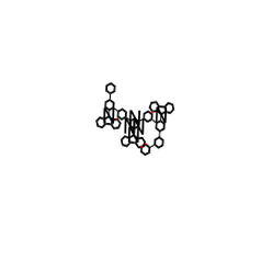 c1ccc(-c2cccc(-c3ccc(-n4c5ccccc5c5ccccc54)c(-c4cccc(-c5nc(-c6ccc(-c7cc(-c8ccccc8)ccc7-n7c8ccccc8c8ccccc87)cc6)nc(-n6c7ccccc7c7ccccc76)n5)c4)c3)c2)cc1